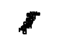 CNC(=O)N[C@H]1CCc2c(C(=O)Nc3ccc(F)c(Cl)c3)ccc(F)c21